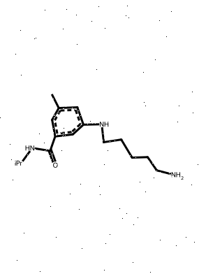 Cc1cc(NCCCCCN)cc(C(=O)NC(C)C)c1